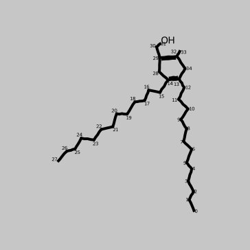 CCCCCCCCCCCCCC1=C(CCCCCCCCCCCCC)CC(CO)=C(C)C1